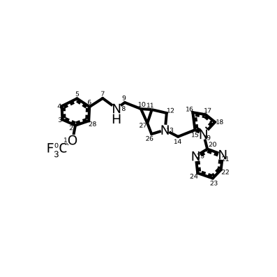 FC(F)(F)Oc1cccc(CNCC2C3CN(Cc4cccn4-c4ncccn4)CC23)c1